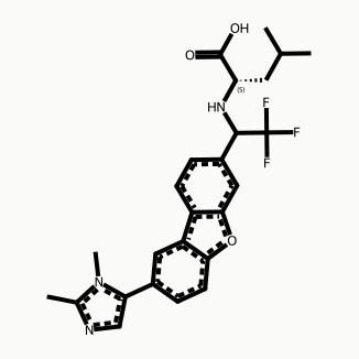 Cc1ncc(-c2ccc3oc4cc(C(N[C@@H](CC(C)C)C(=O)O)C(F)(F)F)ccc4c3c2)n1C